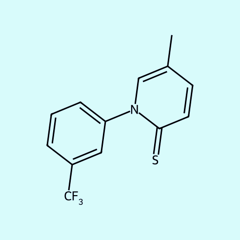 Cc1ccc(=S)n(-c2cccc(C(F)(F)F)c2)c1